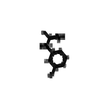 CC(=N)Nc1cccc(F)c1